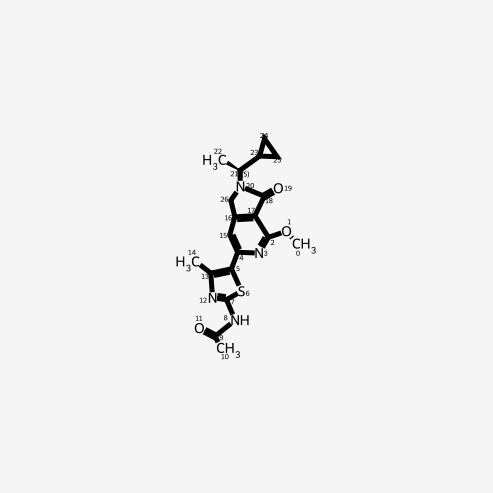 COc1nc(-c2sc(NC(C)=O)nc2C)cc2c1C(=O)N([C@@H](C)C1CC1)C2